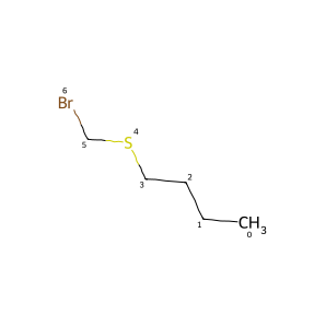 CCCCSCBr